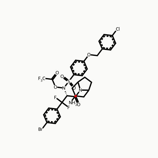 NC1CC2CCC(C1)N2C(=O)[C@@H](N(OC(=O)C(F)(F)F)S(=O)(=O)c1ccc(OCc2ccc(Cl)cc2)cc1)C(F)(F)c1ccc(Br)cc1